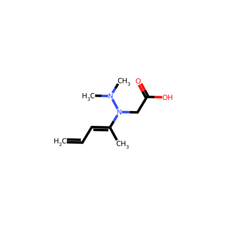 C=C/C=C(\C)N(CC(=O)O)N(C)C